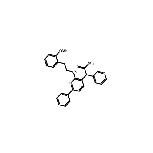 COc1ccccc1CCNc1nc(-c2ccccc2)ccc1C(C(N)=O)c1cccnc1